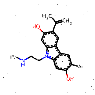 C=C(C)c1cc2c3cc(C(C)=O)c(O)cc3n(CCNC(C)C)c2cc1O